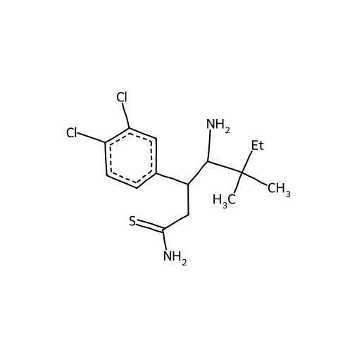 CCC(C)(C)C(N)C(CC(N)=S)c1ccc(Cl)c(Cl)c1